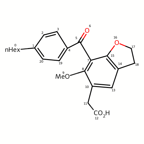 CCCCCCc1ccc(C(=O)c2c(OC)c(CC(=O)O)cc3c2OCC3)cc1